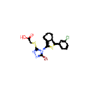 O=C(O)CSc1nnc(Br)n1-c1sc(-c2cccc(Cl)c2)c2c1CCC2